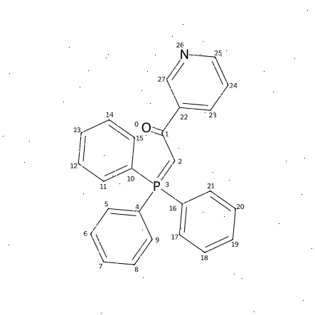 O=C(C=P(c1ccccc1)(c1ccccc1)c1ccccc1)c1cccnc1